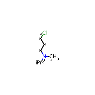 CC(C)N(C)CCCCl